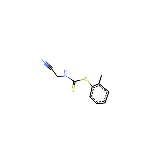 Cc1ccccc1SC(=S)NCC#N